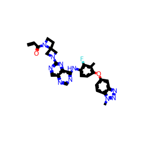 C=CC(=O)N1CCC12CN(c1ncc3ncnc(Nc4ccc(Oc5ccc6c(c5)nnn6C)c(C)c4F)c3n1)C2